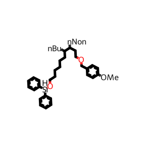 CCCCCCCCCC(CCOCc1ccc(OC)cc1)C(CCCC)CCCCCCO[SiH](c1ccccc1)c1ccccc1